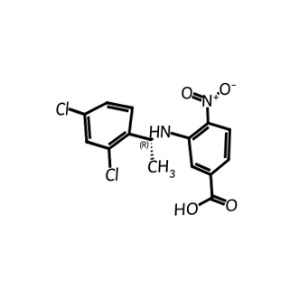 C[C@@H](Nc1cc(C(=O)O)ccc1[N+](=O)[O-])c1ccc(Cl)cc1Cl